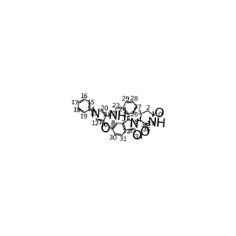 O=C1CCC(N2Cc3cc(Oc4cn(-c5ccccc5)cc4NCc4ccccc4)ccc3C2=O)C(=O)N1